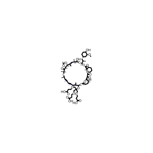 CO[C@@H]1C[C@H](C[C@@H](C)[C@@H]2CC(O)[C@H](C)/C=C(\C)[C@@H](O)[C@@H](OC)C(=O)[C@H](C)C[C@H](C)/C=C/C=C/C=C(\C)C(OC(COCCC(=O)O)(COCCC(=O)O)COCCC(=O)O)C[C@@H]3CC[C@@H](C)[C@@](O)(O3)C(=O)C(=O)N3CCCC[C@H]3C(=O)O2)CC[C@H]1O